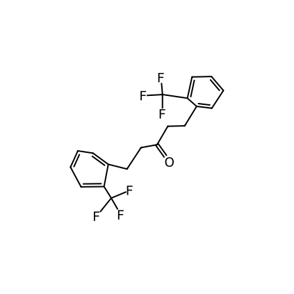 O=C(CCc1ccccc1C(F)(F)F)CCc1ccccc1C(F)(F)F